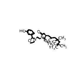 C=C(CC1CC(=O)N(CCN2CCOC2c2cccc(O)c2)C1=O)CC(C)(C)CC(C)(C)C